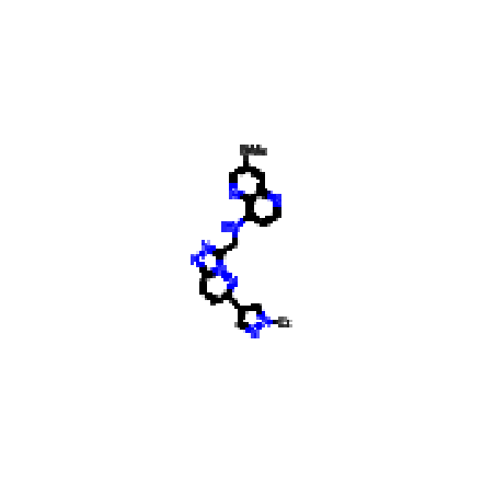 CCn1cc(-c2ccc3nnc(CNc4ccnc5cc(OC)cnc45)n3n2)cn1